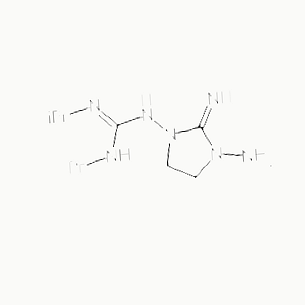 CC(C)N=C(NC(C)C)NN1CCN(N)C1=N